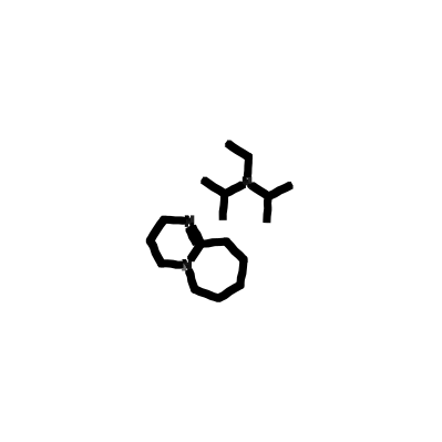 C1CCC2=NCCCN2CC1.CCN(C(C)C)C(C)C